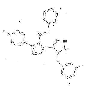 Cc1cccc(CN2NNN=C2c2cnn(-c3ccc(F)cc3)c2SCc2ccccc2)c1